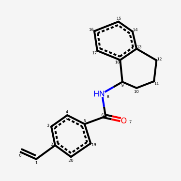 C=Cc1ccc(C(=O)NC2CCCc3ccccc32)cc1